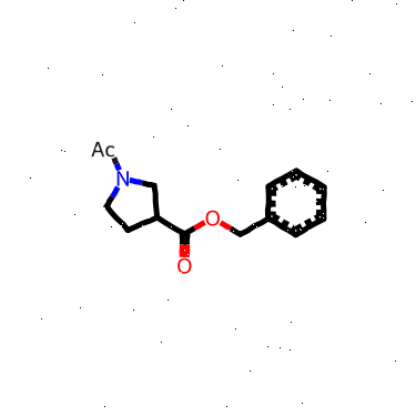 CC(=O)N1CCC(C(=O)OCc2ccccc2)C1